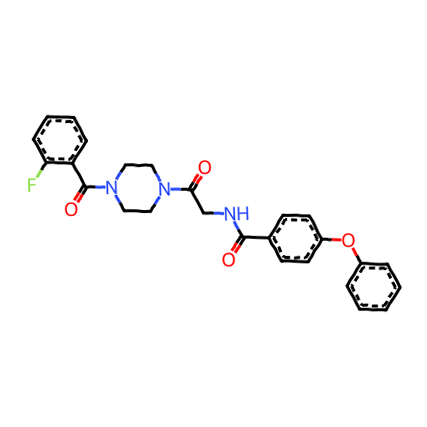 O=C(NCC(=O)N1CCN(C(=O)c2ccccc2F)CC1)c1ccc(Oc2ccccc2)cc1